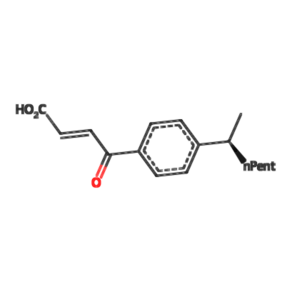 CCCCC[C@H](C)c1ccc(C(=O)/C=C/C(=O)O)cc1